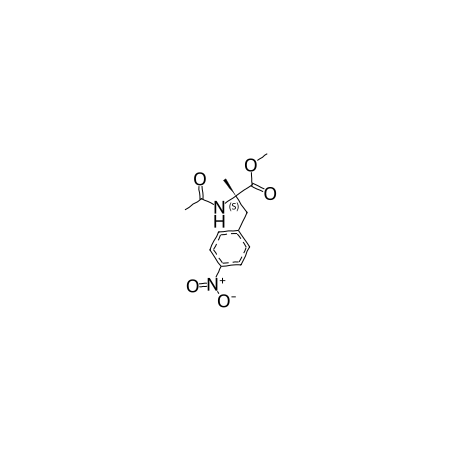 COC(=O)[C@](C)(Cc1ccc([N+](=O)[O-])cc1)NC(C)=O